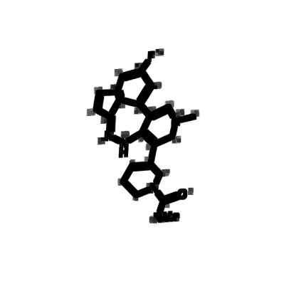 CNC(=O)N1CCC=C(C2=C3NN=C4C=Cc5cc(F)cc(c54)C3=CN(C)C2)C1